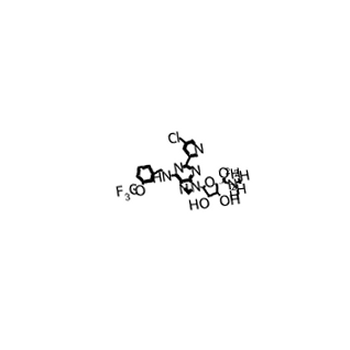 [2H]C([2H])([2H])NC(=O)[C@H]1O[C@@H](n2cnc3c(NCc4cccc(OC(F)(F)F)c4)nc(-c4cncc(Cl)c4)nc32)[C@H](O)[C@@H]1O